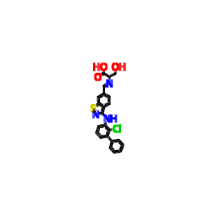 O=C(O)[C@@H](CO)N=Cc1ccc2c(Nc3cccc(-c4ccccc4)c3Cl)nsc2c1